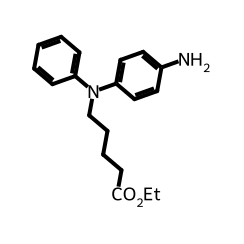 CCOC(=O)CCCCN(c1ccccc1)c1ccc(N)cc1